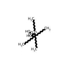 CCCCCCCCCOc1c(CCCCCCCC)c(CCCCCCCC)c(CCCCCCCC)c(O)c1OC(=O)O